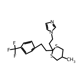 CC1CSC(CCc2ccc(C(F)(F)F)cc2)(CCn2ccnc2)SC1